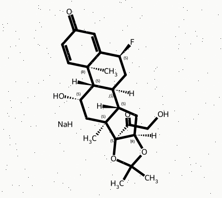 CC1(C)O[C@@H]2C[C@H]3[C@@H]4C[C@H](F)C5=CC(=O)C=C[C@]5(C)[C@H]4[C@@H](O)C[C@]3(C)[C@]2(C(=O)CO)O1.[NaH]